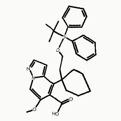 COc1cn2nccc2c(C2(CCO[Si](c3ccccc3)(c3ccccc3)C(C)(C)C)CCCCC2)c1C(=O)O